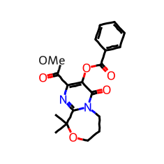 COC(=O)c1nc2n(c(=O)c1OC(=O)c1ccccc1)CCCOC2(C)C